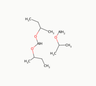 CC(C)[O][AlH2].CCC(C)[O][AlH][O]C(C)CC